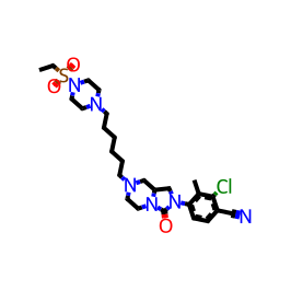 CCS(=O)(=O)N1CCN(CCCCCCN2CCN3C(=O)N(c4ccc(C#N)c(Cl)c4C)CC3C2)CC1